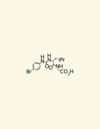 CC(C)C[C@H](NC(=O)Nc1ccc(Br)cc1)C(=O)NCC(=O)O